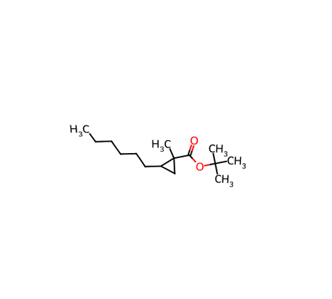 CCCCCCC1CC1(C)C(=O)OC(C)(C)C